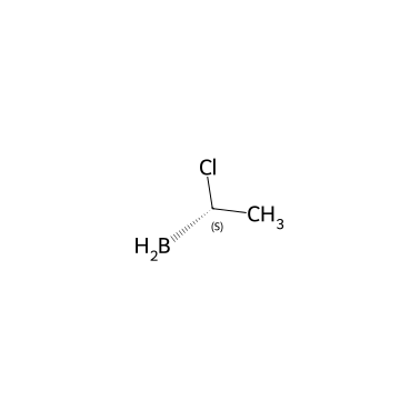 B[C@@H](C)Cl